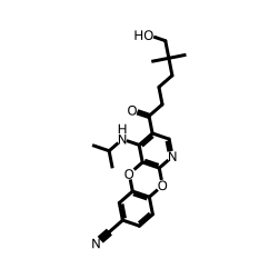 CC(C)Nc1c(C(=O)CCCC(C)(C)CO)cnc2c1Oc1cc(C#N)ccc1O2